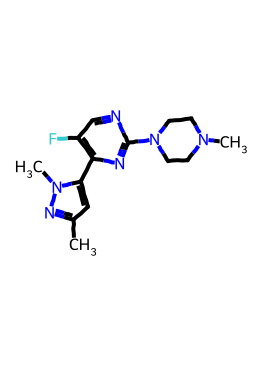 Cc1cc(-c2nc(N3CCN(C)CC3)ncc2F)n(C)n1